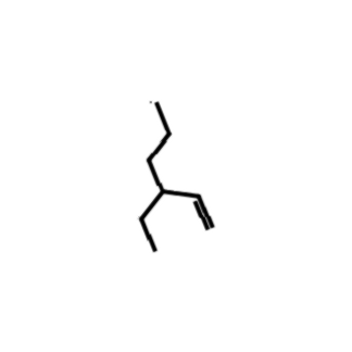 [CH2]CCC(C=C)CC